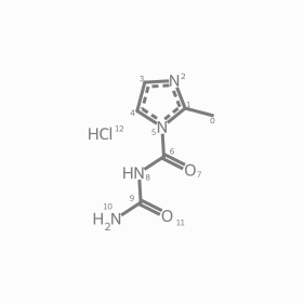 Cc1nccn1C(=O)NC(N)=O.Cl